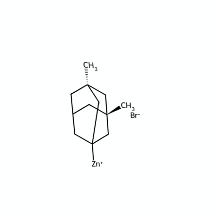 C[C@]12CC3C[C]([Zn+])(C1)C[C@@](C)(C3)C2.[Br-]